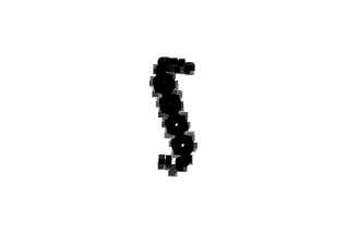 C=CC1CCC(C2CCC(c3ccc(-c4ccc(COC)cc4)cc3)CC2)CC1